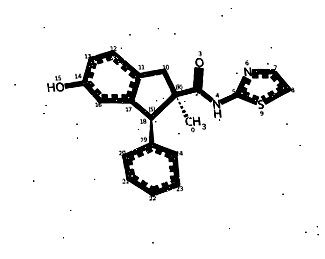 C[C@@]1(C(=O)Nc2nccs2)Cc2ccc(O)cc2[C@@H]1c1ccccc1